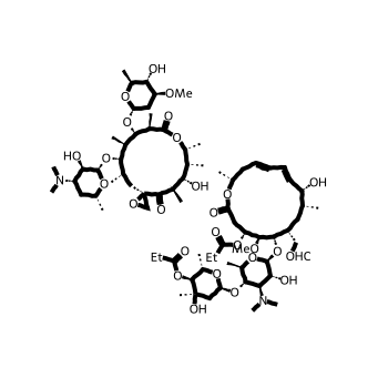 CCC(=O)O[C@@H]1CC(=O)O[C@H](C)C/C=C/C=C/[C@H](O)[C@H](C)C[C@H](CC=O)[C@H](O[C@@H]2O[C@H](C)[C@@H](O[C@H]3C[C@@](C)(O)[C@@H](OC(=O)CC)[C@H](C)O3)[C@H](N(C)C)[C@H]2O)[C@H]1OC.CO[C@H]1C[C@H](O[C@H]2[C@H](C)[C@@H](O[C@@H]3O[C@H](C)C[C@H](N(C)C)[C@H]3O)[C@@H](C)C[C@@]3(CO3)C(=O)[C@H](C)[C@@H](O)[C@@H](C)[C@@H](C)OC(=O)[C@@H]2C)O[C@@H](C)[C@@H]1O